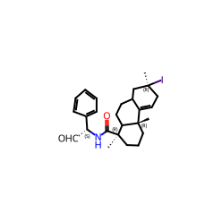 C[C@]1(I)CC=C2C(CCC3[C@](C)(C(=O)N[C@H](C=O)c4ccccc4)CCC[C@@]23C)C1